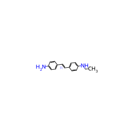 CCNc1ccc(/C=C/c2ccc(N)cc2)cc1